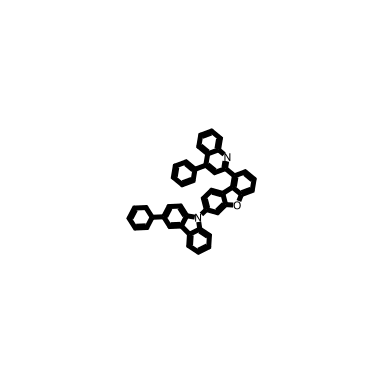 C1=CCC(c2ccc3c(c2)c2ccccc2n3-c2ccc3c(c2)oc2cccc(-c4cc(-c5ccccc5)c5ccccc5n4)c23)C=C1